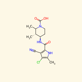 Cc1[nH]c(C(=O)N[C@@H]2CCN(C(=O)O)C(C)[C@H]2C)c(C#N)c1Cl